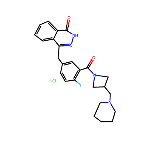 Cl.O=C(c1cc(Cc2n[nH]c(=O)c3ccccc23)ccc1F)N1CC(CN2CCCCC2)C1